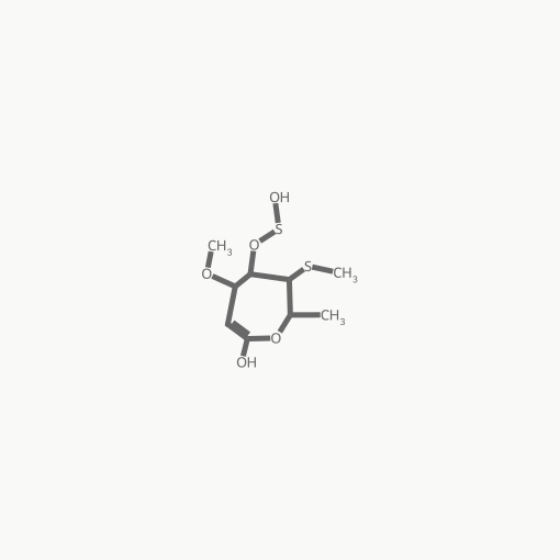 COC1C=C(O)OC(C)C(SC)C1OSO